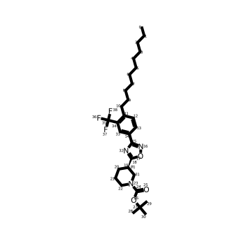 CCCCCCCCCCCc1ccc(-c2noc([C@@H]3CCCN(C(=O)OC(C)(C)C)C3)n2)cc1C(F)(F)F